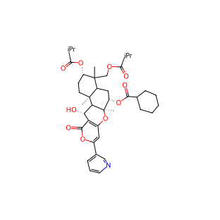 CC(C)C(=O)OCC1(C)C2C[C@H](OC(=O)C3CCCCC3)[C@@]3(C)Oc4cc(-c5cccnc5)oc(=O)c4[C@H](O)C3[C@@]2(C)CC[C@@H]1OC(=O)C(C)C